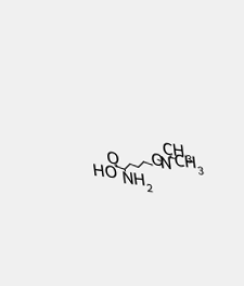 CC(C)=NOCCCCC(N)C(=O)O